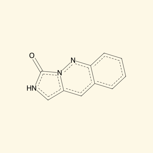 O=c1[nH]cc2cc3ccccc3nn12